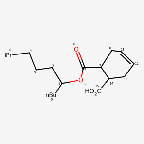 CCCCC(CCCC(C)C)OC(=O)C1CC=CCC1C(=O)O